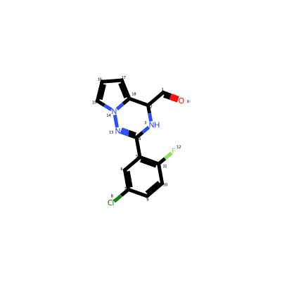 O=CC1NC(c2cc(Cl)ccc2F)=Nn2cccc21